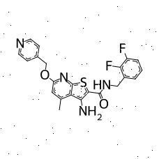 Cc1cc(OCc2ccncc2)nc2sc(C(=O)NCc3cccc(F)c3F)c(N)c12